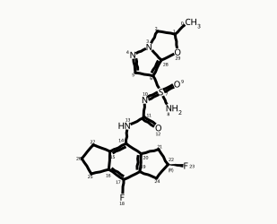 CC1Cn2ncc(S(N)(=O)=NC(=O)Nc3c4c(c(F)c5c3C[C@@H](F)C5)CCC4)c2O1